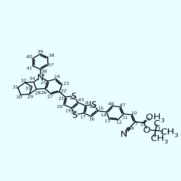 CC(C)(C)OC(=O)/C(C#N)=C/c1ccc(-c2cc3sc4cc(-c5ccc6c(c5)C5C7CCC(C7)C5N6c5ccccc5)sc4c3s2)cc1